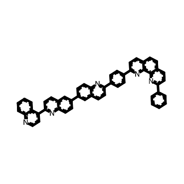 c1ccc(-c2ccc3ccc4ccc(-c5ccc(-c6ccc7cc(-c8ccc9nc(-c%10ccnc%11ccccc%10%11)ccc9c8)ccc7n6)cc5)nc4c3n2)cc1